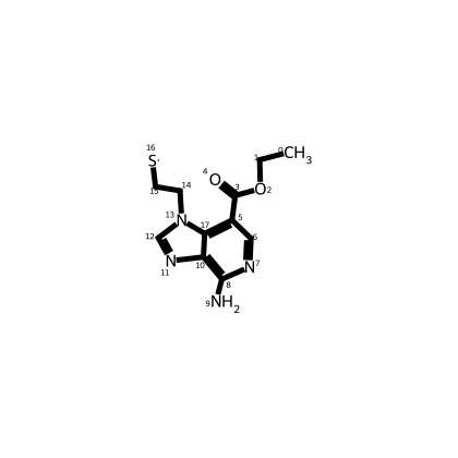 CCOC(=O)c1cnc(N)c2ncn(CC[S])c12